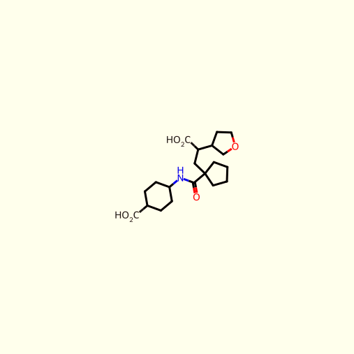 O=C(O)C1CCC(NC(=O)C2(CC(C(=O)O)C3CCOC3)CCCC2)CC1